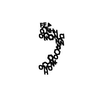 Cn1nc(C2CCC(=O)NC2=O)c2cccc(OC3CCC4(CC3)CN(c3ncc(Cl)c(Nc5ccc6c(c5)c5c(c(=O)n6C)OCC(F)(F)[C@H](C6CC6)N5)n3)C4)c21